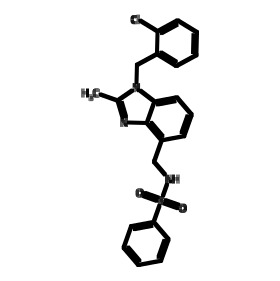 Cc1nc2c(CNS(=O)(=O)c3ccccc3)cccc2n1Cc1ccccc1Cl